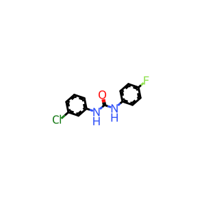 O=C(Nc1ccc(F)cc1)Nc1cccc(Cl)c1